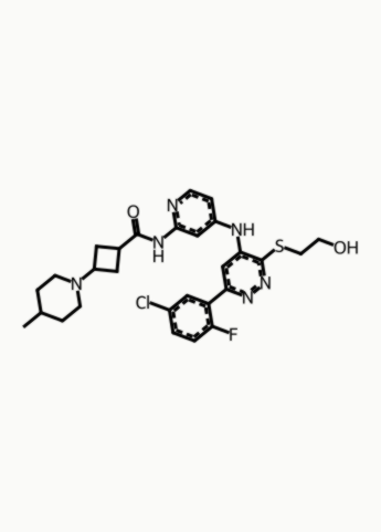 CC1CCN(C2CC(C(=O)Nc3cc(Nc4cc(-c5cc(Cl)ccc5F)nnc4SCCO)ccn3)C2)CC1